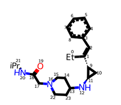 CC/C(=C\c1ccccc1)[C@@H]1C[C@H]1NC1CCN(CC(=O)NC(C)C)CC1